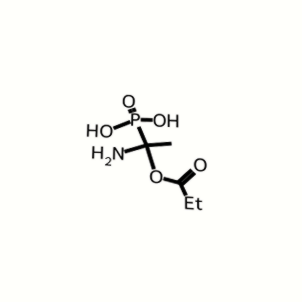 CCC(=O)OC(C)(N)P(=O)(O)O